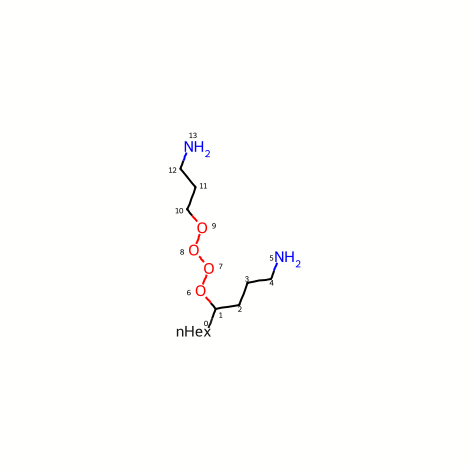 CCCCCCC(CCCN)OOOOCCCN